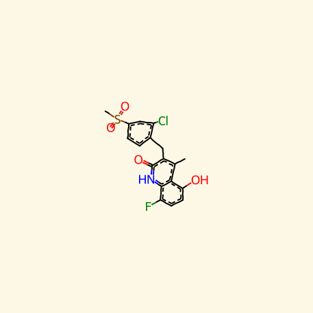 Cc1c(Cc2ccc(S(C)(=O)=O)cc2Cl)c(=O)[nH]c2c(F)ccc(O)c12